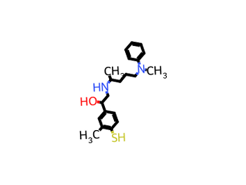 Cc1cc(C(O)CNC(C)CCCN(C)c2ccccc2)ccc1S